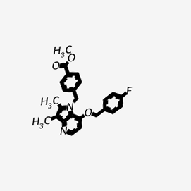 COC(=O)c1ccc(Cn2c(C)c(C)c3nccc(OCc4ccc(F)cc4)c32)cc1